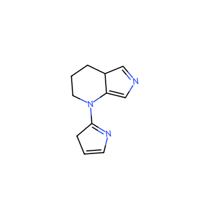 C1=CN=C(N2CCCC3C=NC=C32)C1